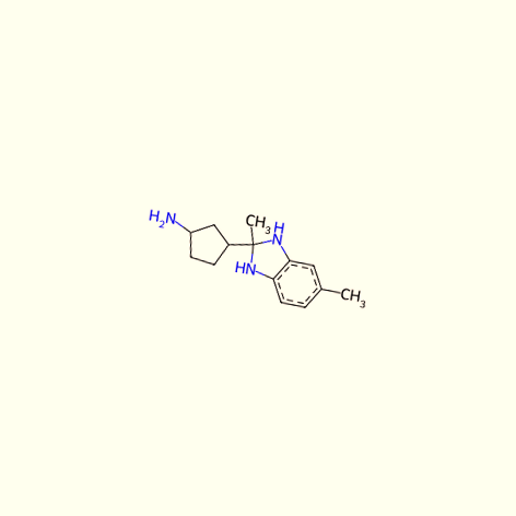 Cc1ccc2c(c1)NC(C)(C1CCC(N)C1)N2